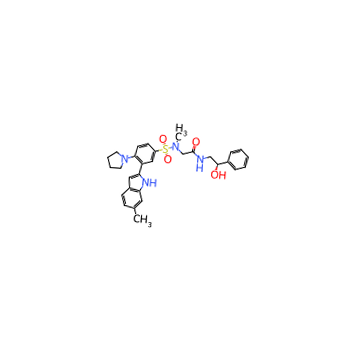 Cc1ccc2cc(-c3cc(S(=O)(=O)N(C)CC(=O)NC[C@H](O)c4ccccc4)ccc3N3CCCC3)[nH]c2c1